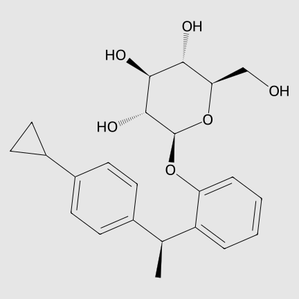 C[C@@H](c1ccc(C2CC2)cc1)c1ccccc1O[C@@H]1O[C@H](CO)[C@@H](O)[C@H](O)[C@H]1O